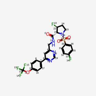 O=C(NCc1cc(-c2ccc(OC(F)(F)F)cc2)ncn1)[C@@H]1[C@@H](F)CCN1S(=O)(=O)c1ccc(F)cc1